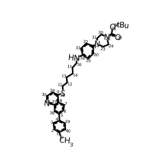 Cc1ccc(-c2ccc3c(SCCCCCCNc4ccc(N5CCN(C(=O)OC(C)(C)C)CC5)cc4)ccnc3c2)cc1